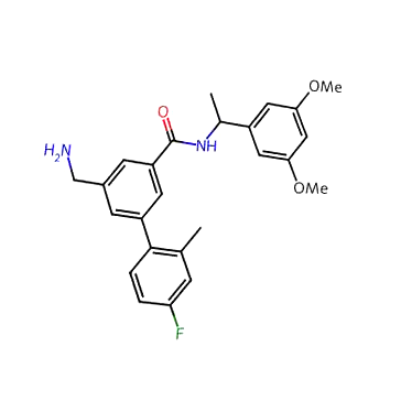 COc1cc(OC)cc(C(C)NC(=O)c2cc(CN)cc(-c3ccc(F)cc3C)c2)c1